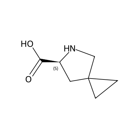 O=C(O)[C@@H]1CC2(CC2)CN1